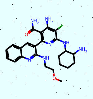 COCCNc1nc2ccccc2cc1-c1nc(NC2CCCCC2N)c(F)c(N)c1C(N)=O